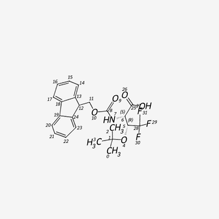 CC(C)(C)O[C@H]([C@H](NC(=O)OCC1c2ccccc2-c2ccccc21)C(=O)O)C(F)(F)F